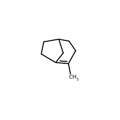 CC1=C2CCC(CC1)C2